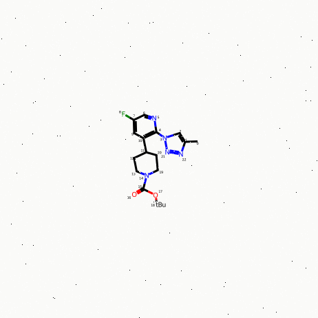 Cc1cn(-c2ncc(F)cc2C2CCN(C(=O)OC(C)(C)C)CC2)nn1